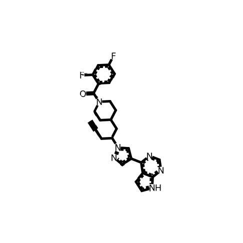 C#CCC(CC1CCN(C(=O)c2ccc(F)cc2F)CC1)n1cc(-c2ncnc3[nH]ccc23)cn1